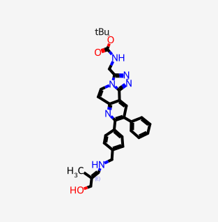 C/C(=C\NCc1ccc(-c2nc3ccn4c(CNC(=O)OC(C)(C)C)nnc4c3cc2-c2ccccc2)cc1)CO